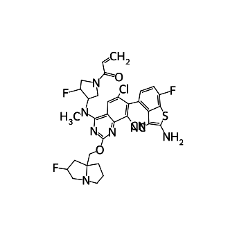 C=CC(=O)N1CC(F)C(N(C)c2nc(OCC34CCCN3CC(F)C4)nc3c(C#N)c(-c4ccc(F)c5sc(N)c(C#N)c45)c(Cl)cc23)C1